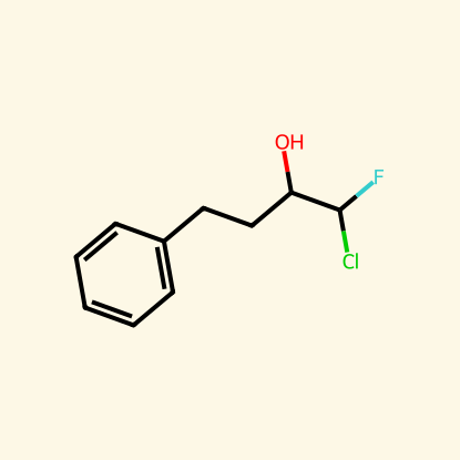 OC(CCc1ccccc1)C(F)Cl